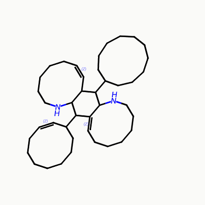 C1=C\C(C2/C3=C/CCCCCCNC3C(C3CCCCCCCCCC3)C3/C=C\CCCCCNC32)CCCCCCC/1